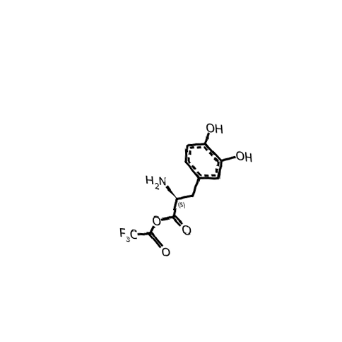 N[C@@H](Cc1ccc(O)c(O)c1)C(=O)OC(=O)C(F)(F)F